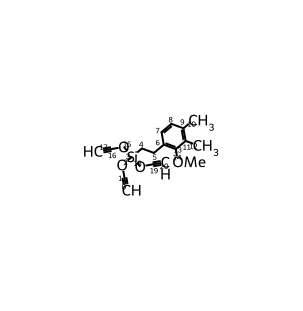 C#CO[Si](CCc1ccc(C)c(C)c1OC)(OC#C)OC#C